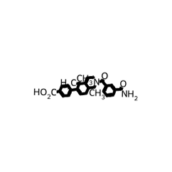 CC1(C)C(c2ccc(C(=O)O)cc2)=CC[C@]2(C)CN(C(=O)c3cccc(C(N)=O)c3)CC=C12